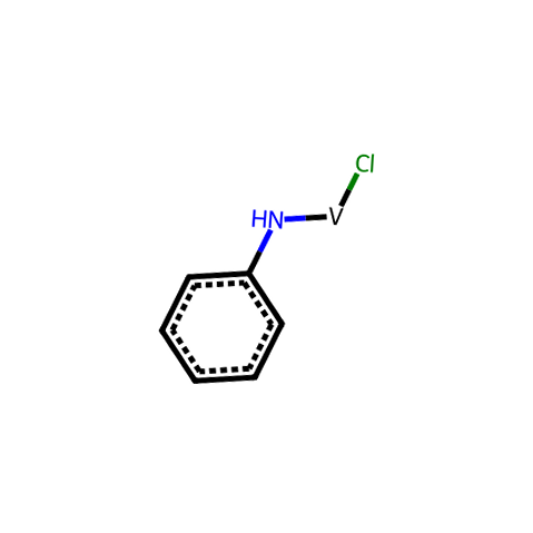 [Cl][V][NH]c1ccccc1